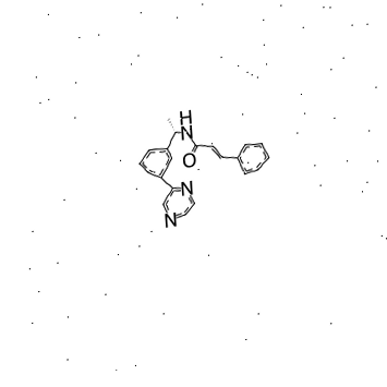 C[C@H](NC(=O)C=Cc1ccccc1)c1cccc(-c2cnccn2)c1